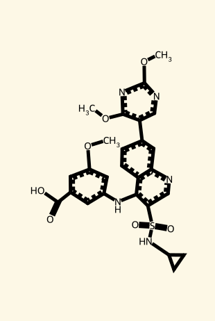 COc1cc(Nc2c(S(=O)(=O)NC3CC3)cnc3cc(-c4cnc(OC)nc4OC)ccc23)cc(C(=O)O)c1